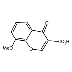 COc1cccc2c(=O)c(C(=O)O)coc12